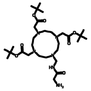 CC(C)(C)OC(=O)CN1CCN(CNC(=O)CN)CCN(CC(=O)OC(C)(C)C)CCN(CC(=O)OC(C)(C)C)CC1